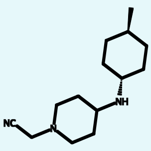 C[C@H]1CC[C@H](NC2CCN(CC#N)CC2)CC1